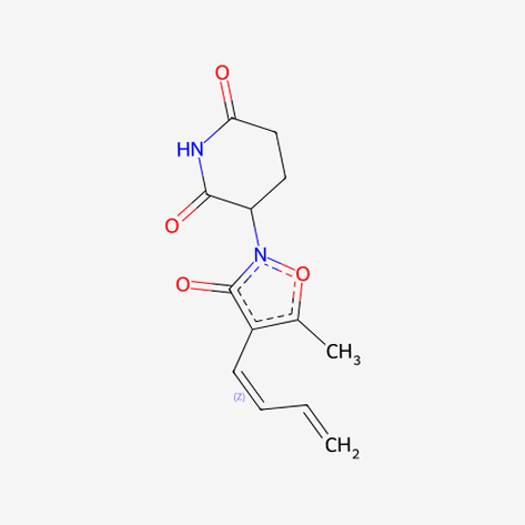 C=C/C=C\c1c(C)on(C2CCC(=O)NC2=O)c1=O